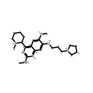 CNc1nc(C2CCCCN2C)c2cc(OC)c(OCCCN3CCCC3)cc2n1